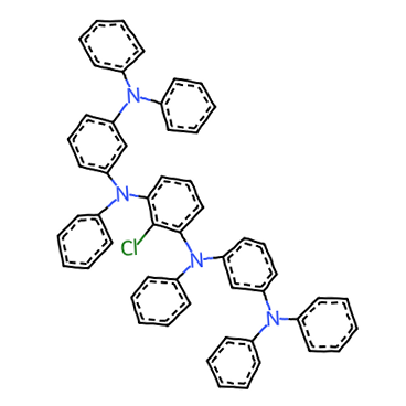 Clc1c(N(c2ccccc2)c2cccc(N(c3ccccc3)c3ccccc3)c2)cccc1N(c1ccccc1)c1cccc(N(c2ccccc2)c2ccccc2)c1